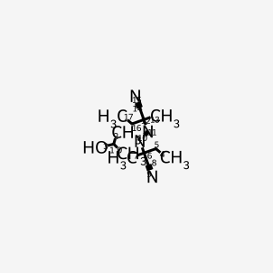 CC(C)O.CCC(C)(C#N)/N=N/C(C)(C#N)CC